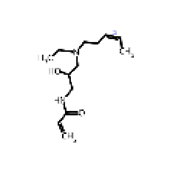 C=CC(=O)NCC(O)CN(CC)CC/C=C\C